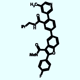 CNC(=O)c1c(-c2ccc(F)cc2)oc2ccc(-c3ccc(-c4cncc(C)c4)c(C(=O)NCC(C)C)c3)cc12